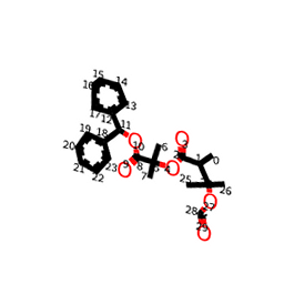 CC(C(=O)OC(C)(C)C(=O)OC(c1ccccc1)c1ccccc1)C(C)(C)O[C]=O